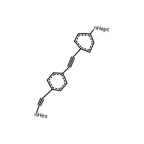 CCCCCCC#Cc1ccc(C#Cc2ccc(CCCCCCC)cc2)cc1